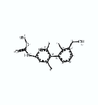 Cc1cc(NC(=O)OC(C)(C)C)nc(C)c1-c1cccc(CO)c1C